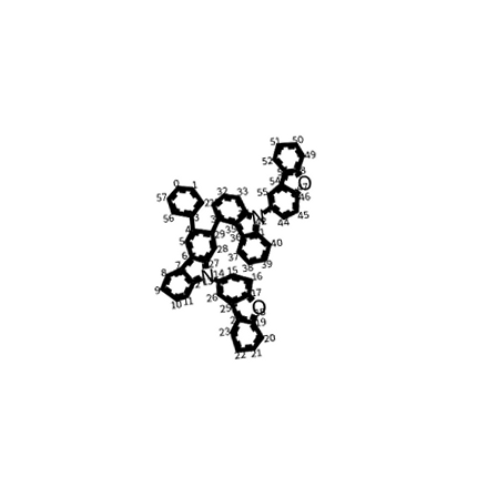 c1ccc(-c2cc3c4ccccc4n(-c4ccc5oc6ccccc6c5c4)c3cc2-c2cccc3c2c2ccccc2n3-c2ccc3oc4ccccc4c3c2)cc1